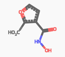 O=C(NO)c1ccoc1C(=O)O